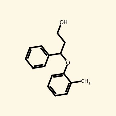 Cc1ccccc1OC(CCO)c1ccccc1